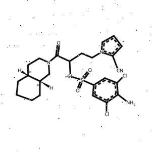 N#Cc1cccn1CCC(NS(=O)(=O)c1cc(Cl)c(N)c(Cl)c1)C(=O)N1CC[C@H]2CCCC[C@H]2C1